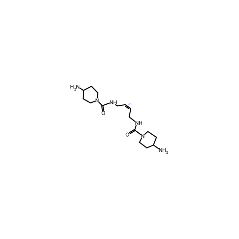 NC1CCN(C(=O)NC/C=C\CNC(=O)N2CCC(N)CC2)CC1